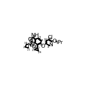 CC(C)Oc1ncc(Oc2ccc(C(N)=O)c(S(=O)(=O)N3CCC3)c2C2CC2)cc1Cl